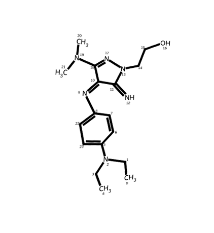 CCN(CC)c1ccc(N=C2C(=N)N(CCO)N=C2N(C)C)cc1